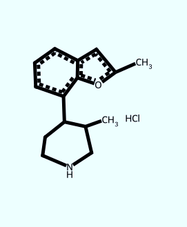 Cc1cc2cccc(C3CCNCC3C)c2o1.Cl